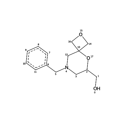 OCC1CN(Cc2ccccc2)CC2(COC2)O1